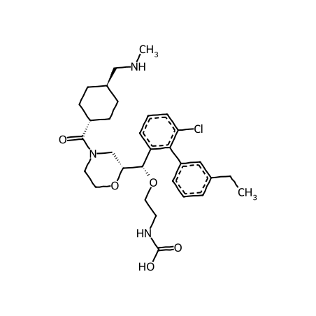 CCc1cccc(-c2c(Cl)cccc2[C@H](OCCNC(=O)O)[C@H]2CN(C(=O)[C@H]3CC[C@H](CNC)CC3)CCO2)c1